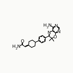 CC1(C)Oc2ncnc(N)c2N=C1c1ccc(C2CCC(=CC(N)=O)CC2)cc1